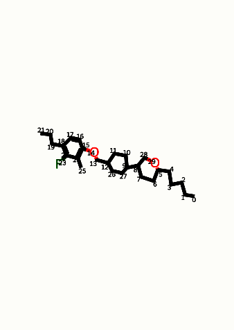 CCCCCC1CCC(C2CCC(COc3ccc(CCC)c(F)c3C)CC2)CO1